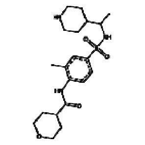 Cc1cc(S(=O)(=O)NC(C)C2CCNCC2)ccc1NC(=O)C1CCOCC1